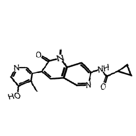 Cc1c(O)cncc1-c1cc2cnc(NC(=O)C3CC3)cc2n(C)c1=O